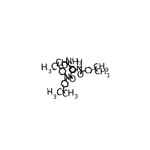 CC(C)C1CCC(C(=O)Nc2cc(C(N)=O)cc(C(=O)N(C3CCC(C(C)C)CC3)C3CCC(C(C)C)CC3)c2)CC1